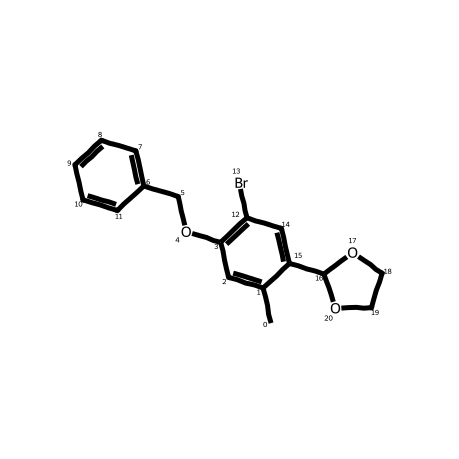 Cc1cc(OCc2ccccc2)c(Br)cc1C1OCCO1